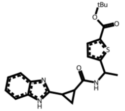 CC(NC(=O)C1CC1c1nc2ccccc2[nH]1)c1ccc(C(=O)OC(C)(C)C)s1